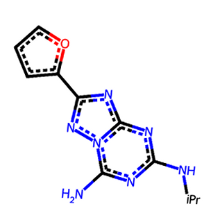 CC(C)Nc1nc(N)n2nc(-c3ccco3)nc2n1